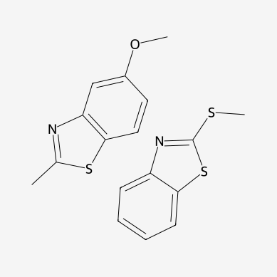 COc1ccc2sc(C)nc2c1.CSc1nc2ccccc2s1